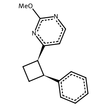 COc1nccc([C@@H]2CC[C@@H]2c2ccccc2)n1